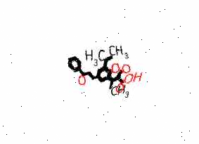 CCc1c(C(=O)O)c(=O)oc2c(C(C)CC)cc(C=CC(=O)c3ccccc3)cc12